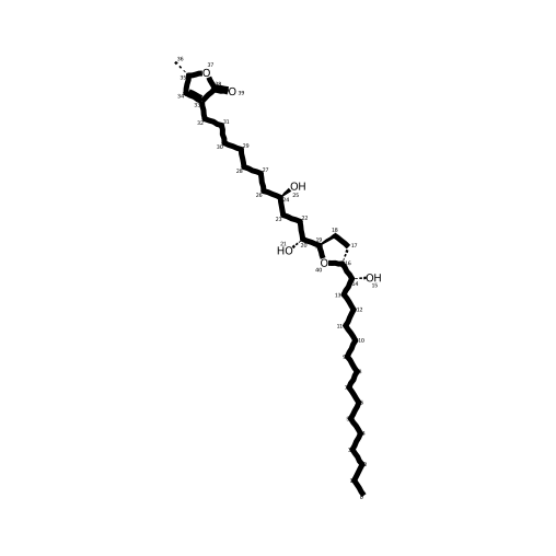 CCCCCCCCCCCCCC[C@@H](O)[C@H]1CC[C@H]([C@H](O)CC[C@H](O)CCCCCCCC2=C[C@H](C)OC2=O)O1